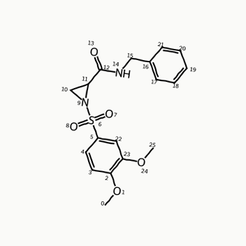 COc1ccc(S(=O)(=O)N2CC2C(=O)NCc2ccccc2)cc1OC